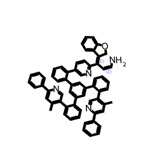 Cc1cc(-c2ccccc2)ncc1-c1ccccc1-c1cc(-c2ccccc2-c2ccc(C(/C=C\N)=C3/COc4ccccc43)nc2)cc(-c2ccccc2-c2cnc(-c3ccccc3)cc2C)c1